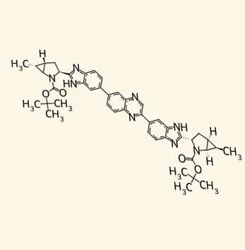 C[C@@H]1[C@@H]2C[C@@H](c3nc4ccc(-c5cnc6cc(-c7ccc8nc([C@@H]9C[C@@H]%10C([C@@H]%10C)N9C(=O)OC(C)(C)C)[nH]c8c7)ccc6n5)cc4[nH]3)N(C(=O)OC(C)(C)C)[C@H]12